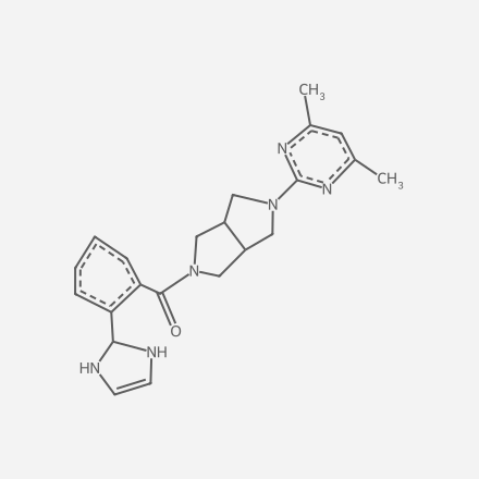 Cc1cc(C)nc(N2CC3CN(C(=O)c4ccccc4C4NC=CN4)CC3C2)n1